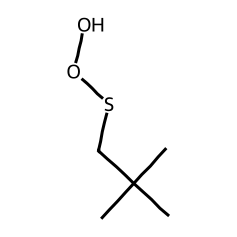 CC(C)(C)CSOO